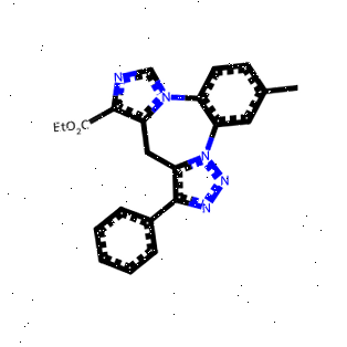 CCOC(=O)c1ncn2c1Cc1c(-c3ccccc3)nnn1-c1cc(C)ccc1-2